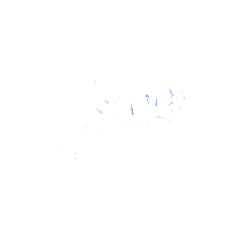 CCN(C=O)c1cc(OCC(F)F)cnc1N(C)c1ccc(Oc2nc3cccnc3n2C)cc1